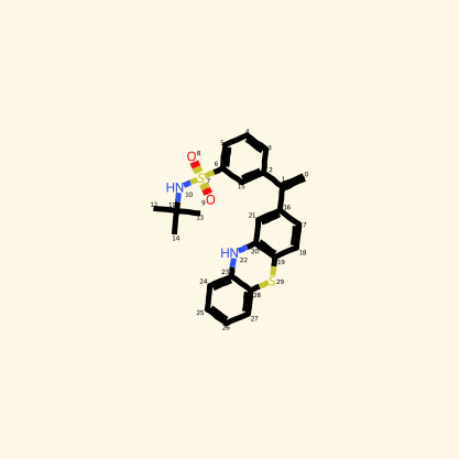 C=C(c1cccc(S(=O)(=O)NC(C)(C)C)c1)c1ccc2c(c1)Nc1ccccc1S2